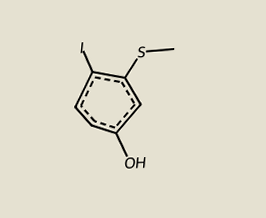 CSc1cc(O)ccc1I